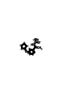 CC(N[S@+]([O-])C(C)(C)C)c1cccc(OC2CCCC2)c1